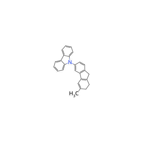 CC1=CC2=C(CC1)Cc1ccc(-n3c4ccccc4c4ccccc43)cc12